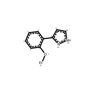 CCOc1c[c]ccc1-c1cc[nH]n1